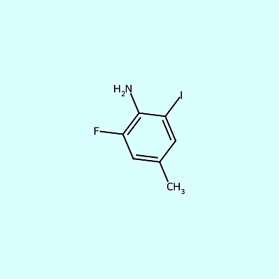 Cc1cc(F)c(N)c(I)c1